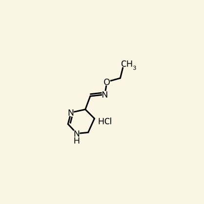 CCON=CC1CCNC=N1.Cl